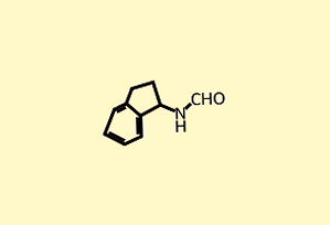 O=CNC1CCc2ccccc21